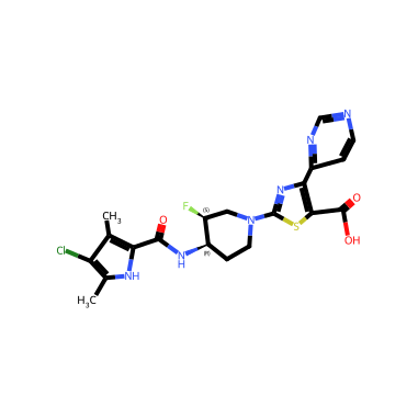 Cc1[nH]c(C(=O)N[C@@H]2CCN(c3nc(-c4ccncn4)c(C(=O)O)s3)C[C@@H]2F)c(C)c1Cl